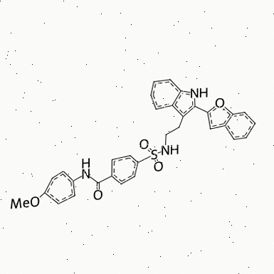 COc1ccc(NC(=O)c2ccc(S(=O)(=O)NCCc3c(-c4cc5ccccc5o4)[nH]c4ccccc34)cc2)cc1